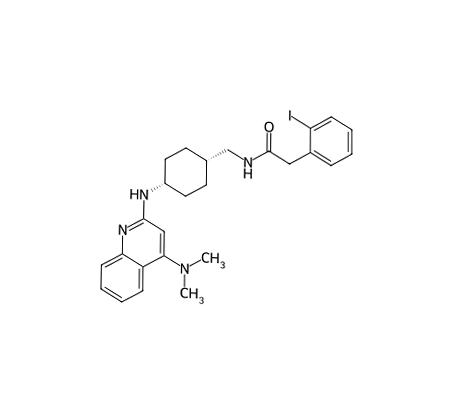 CN(C)c1cc(N[C@H]2CC[C@@H](CNC(=O)Cc3ccccc3I)CC2)nc2ccccc12